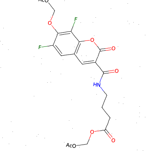 CC(=O)OCOC(=O)CCCNC(=O)c1cc2cc(F)c(OCOC(C)=O)c(F)c2oc1=O